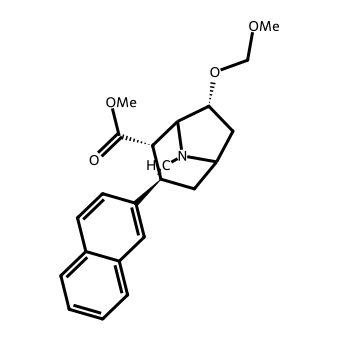 COCO[C@@H]1CC2C[C@@H](c3ccc4ccccc4c3)[C@H](C(=O)OC)C1N2C